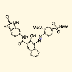 CNS(=O)(=O)c1ccc(/N=N/c2c(O)c(C(=O)Nc3ccc4[nH]c(=O)[nH]c4c3)cc3ccccc23)c(OC)c1